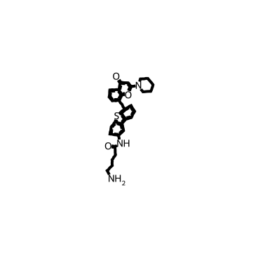 NCCCCC(=O)Nc1ccc2sc3c(-c4cccc5c(=O)cc(N6CCCCC6)oc45)cccc3c2c1